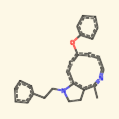 Cc1ncccc(Oc2ccccc2)ccc2c1CCN2CCc1ccccc1